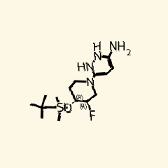 CC(C)(C)[Si](C)(C)O[C@@H]1CCN(C2=CC=C(N)NN2)C[C@H]1F